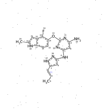 C/C=C/c1cc(Nc2cc(N)nc(Oc3ccc4[nH]c(C)cc4c3F)n2)n[nH]1